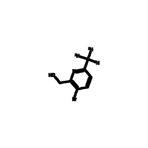 [2H]C([2H])([2H])c1ccc(Br)c(CO)n1